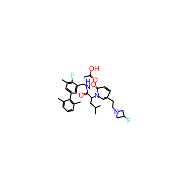 Cc1cc(-c2c(C)cccc2C)cc([C@H](CC(=O)O)NC(=O)C(CC(C)C)n2cc(CCN3CC(F)C3)ccc2=O)c1F